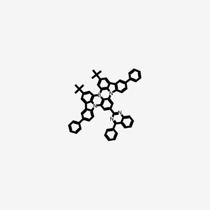 CC(C)(C)c1cc2c3c(c1)c1cc(-c4ccccc4)ccc1n3-c1cc(-c3nc(-c4ccccc4)c4ccccc4n3)cc3c1B2c1cc(C(C)(C)C)cc2c4cc(-c5ccccc5)ccc4n-3c12